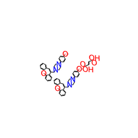 COc1ccc(N2CCN(CC3=Cc4ccccc4Oc4ccccc43)CC2)cc1.COc1ccc(N2CCN(CC3=Cc4ccccc4Oc4ccccc43)CC2)cc1.O=C(O)C=CC(=O)O